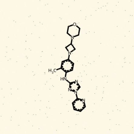 Cc1cc(N2CC(N3CCOCC3)C2)ccc1Nc1ncn(-c2ccccn2)n1